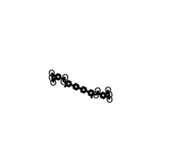 Cc1cc(-c2ccc(-c3ccc(-c4ccc(OC(=O)c5ccc6c(c5)C(=O)OC6=O)c(C)c4)cc3)cc2)ccc1OC(=O)c1ccc2c(c1)C(=O)OC2=O